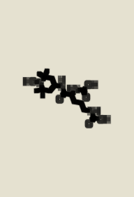 CC1(C)CC(NC(=O)C(CCCNC(=O)O)NC(=O)O)CC(C)(C)N1O